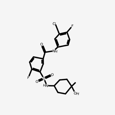 CC1(O)CCC(NS(=O)(=O)c2cc(C(=O)Nc3ccc(F)c(Cl)c3)ccc2F)CC1